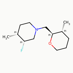 C[C@@H]1CCCO[C@H]1CN1CC[C@@H](C)[C@@H](F)C1